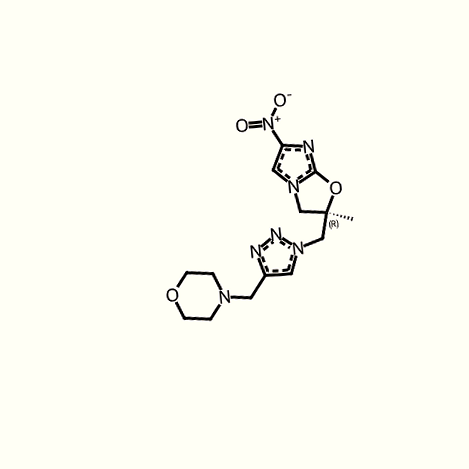 C[C@]1(Cn2cc(CN3CCOCC3)nn2)Cn2cc([N+](=O)[O-])nc2O1